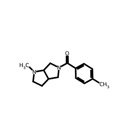 Cc1ccc(C(=O)N2CC3CCN(C)C3C2)cc1